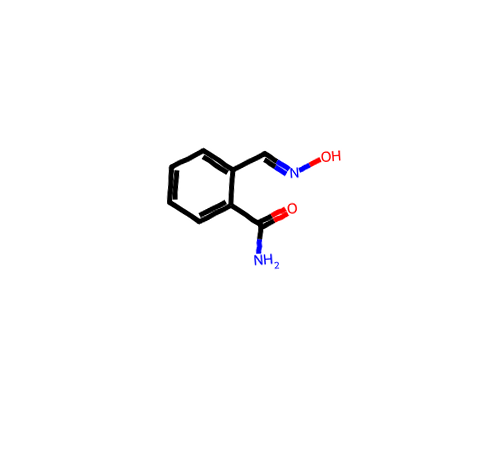 NC(=O)c1ccccc1C=NO